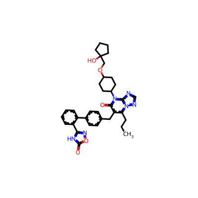 CCCc1c(Cc2ccc(-c3ccccc3-c3noc(=O)[nH]3)cc2)c(=O)n(C2CCC(OCC3(O)CCCC3)CC2)c2ncnn12